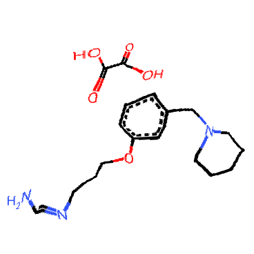 N/C=N\CCCOc1cccc(CN2CCCCC2)c1.O=C(O)C(=O)O